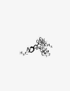 COP(=O)(CC(=O)C(Cc1ccc(C)nc1)NC(=O)OC(C)(C)C)OC